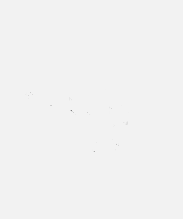 CCCC(NC(=O)[C@@H]1[C@@H](C2CCCCC2)CCN1C(=O)[C@@H](NC(=O)[C@@H](NC(=O)c1cnccn1)C1CCCCC1)C(C)(C)C)C(=O)C(N)=O